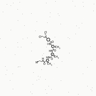 Cn1cc(NC(=O)c2cc(NC(=O)c3cc(NC(=O)c4ccc(N(CCCl)CCCl)cc4)cn3C)cn2C)cc1C(=O)NCCC#N